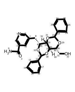 NC(=O)c1cncc(C[C@H]2OC(c3ccccc3)O[C@H]3[C@H]2OC(c2ccccc2)O[C@@H]3CO)c1